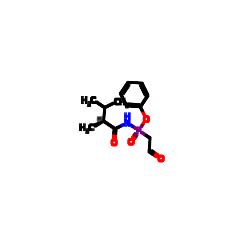 CC(C)[C@H](C)C(=O)NP(=O)(CC=O)Oc1ccccc1